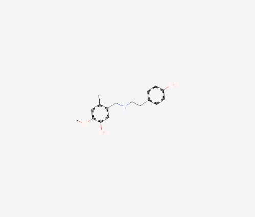 COc1cc(C)c(CNCCc2ccc(O)cc2)cc1O